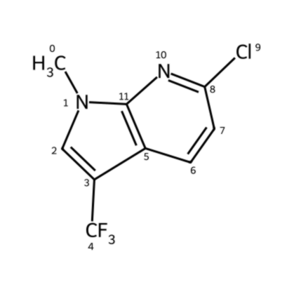 Cn1cc(C(F)(F)F)c2ccc(Cl)nc21